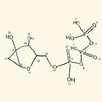 O=P(O)(O)OP(=O)(O)OP(=O)(O)OCC1OC2CC2(O)C1O